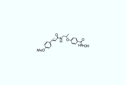 COc1ccc(/C=C/C(=O)NCC(C)Oc2ccc(C(=O)NO)cc2)cc1